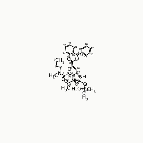 CCCN(C)C(=O)[C@@H]1OC(C(=O)OC(c2ccccc2)c2ccccc2)=C[C@H](NC(=O)OC(C)(C)C)[C@H]1NC(C)=O